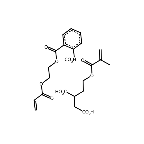 C=C(C)C(=O)OCCC(CC(=O)O)C(=O)O.C=CC(=O)OCCOC(=O)c1ccccc1C(=O)O